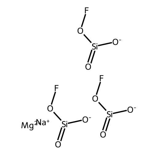 O=[Si]([O-])OF.O=[Si]([O-])OF.O=[Si]([O-])OF.[Mg+2].[Na+]